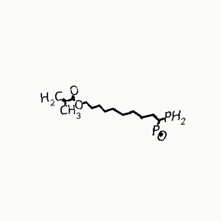 C=C(C)C(=O)OCCCCCCCCCC(P)P=O